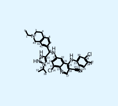 CCN1CCc2ccc([C@H](Nc3cc(Cl)c4ncc(C#N)c(Nc5ccc(F)c(Cl)c5)c4c3)C3=CN(C(C)C)NN3)cc2C1